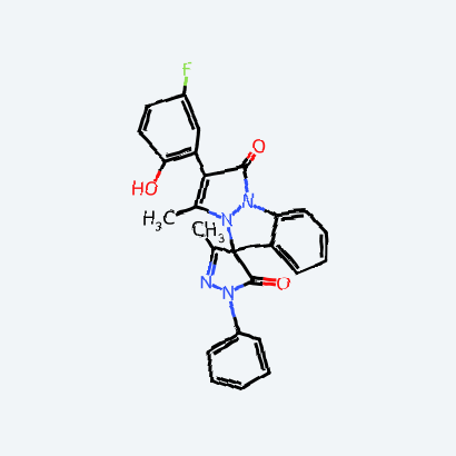 CC1=NN(c2ccccc2)C(=O)C12c1ccccc1-n1c(=O)c(-c3cc(F)ccc3O)c(C)n12